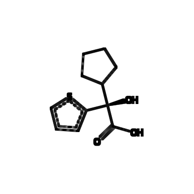 O=C(O)[C@](O)(c1cccs1)C1CCCC1